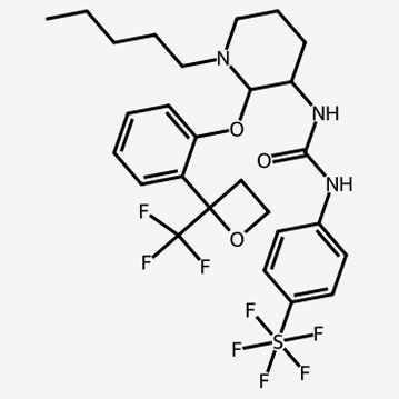 CCCCCN1CCCC(NC(=O)Nc2ccc(S(F)(F)(F)(F)F)cc2)C1Oc1ccccc1C1(C(F)(F)F)CCO1